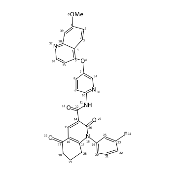 COc1ccc2c(Oc3ccc(NC(=O)c4cc5c(n(-c6cccc(F)c6)c4=O)CCCC5=O)nc3)ccnc2c1